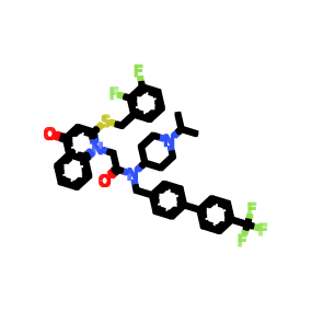 CC(C)N1CCC(N(Cc2ccc(-c3ccc(C(F)(F)F)cc3)cc2)C(=O)Cn2c(SCc3cccc(F)c3F)cc(=O)c3ccccc32)CC1